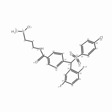 C[S+]([O-])CCCNC(=O)c1ccc(C(c2cc(F)ccc2F)S(=O)(=O)c2ccc(Cl)cc2)nc1